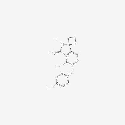 CC(C)(C)c1ccc(Sc2ccc3c(c2O)C(=N)N(O)C32CCC2)cc1